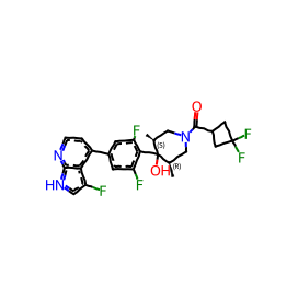 C[C@@H]1CN(C(=O)C2CC(F)(F)C2)C[C@H](C)C1(O)c1c(F)cc(-c2ccnc3[nH]cc(F)c23)cc1F